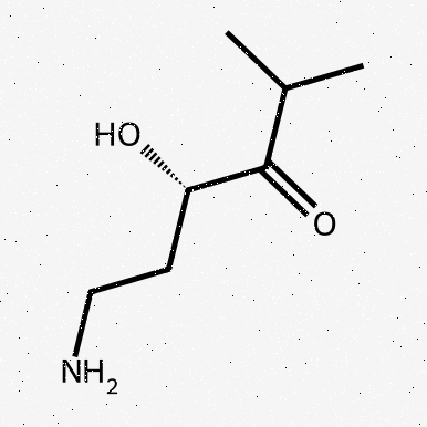 CC(C)C(=O)[C@@H](O)CCN